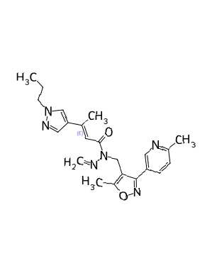 C=NN(Cc1c(-c2ccc(C)nc2)noc1C)C(=O)/C=C(\C)c1cnn(CCC)c1